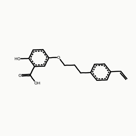 C=Cc1ccc(CCCOc2ccc(O)c(C(=O)O)c2)cc1